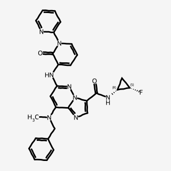 CN(Cc1ccccc1)c1cc(Nc2cccn(-c3ccccn3)c2=O)nn2c(C(=O)N[C@@H]3C[C@@H]3F)cnc12